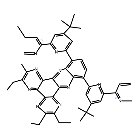 C=C/C(=N\C)c1cc(C(C)(C)C)cc(-c2ccc(-c3cc(C(C)(C)C)cc(/C(=C/CC)N=C)n3)c3nc4c5nc(C)c(CC)nc5c5nc(CC)c(CC)nc5c4nc23)n1